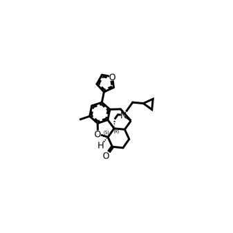 Cc1cc(-c2ccoc2)c2c3c1O[C@@H]1C(=O)CCC4C(C2)N(CC2CC2)CC[C@]341